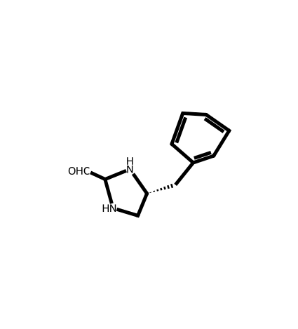 O=CC1NC[C@@H](Cc2ccccc2)N1